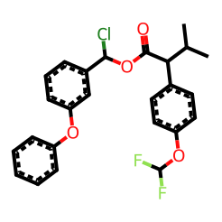 CC(C)C(C(=O)OC(Cl)c1cccc(Oc2ccccc2)c1)c1ccc(OC(F)F)cc1